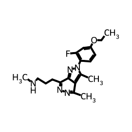 CCOc1ccc(-n2nc3c(CCCNC)nnc(C)c3c2C)c(F)c1